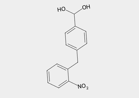 O=[N+]([O-])c1ccccc1Cc1ccc(C(O)O)cc1